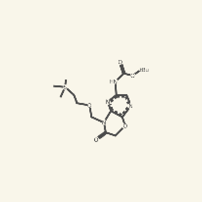 CC(C)(C)OC(=O)Nc1cnc2c(n1)N(COCCS(C)(C)C)C(=O)CO2